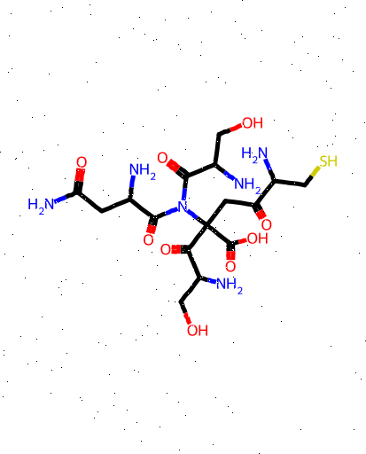 NC(=O)CC(N)C(=O)N(C(=O)C(N)CO)C(CC(=O)C(N)CS)(C(=O)O)C(=O)C(N)CO